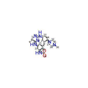 Cc1cc(Nc2ncc(C)c(Nc3ccc4oc(=O)[nH]c4c3)n2)ccc1N1CCN(C)CC1